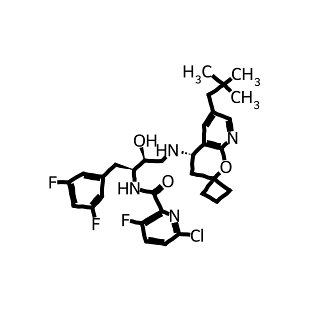 CC(C)(C)Cc1cnc2c(c1)[C@@H](NC[C@H](O)[C@H](Cc1cc(F)cc(F)c1)NC(=O)c1nc(Cl)ccc1F)CC1(CCC1)O2